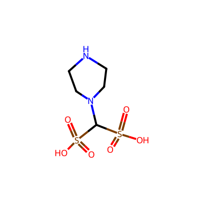 O=S(=O)(O)C(N1CCNCC1)S(=O)(=O)O